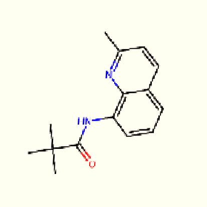 Cc1ccc2cccc(NC(=O)C(C)(C)C)c2n1